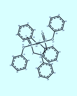 O=P(CN(CP(=O)(Oc1ccccc1)Oc1ccccc1)c1ccccc1)(Oc1ccccc1)Oc1ccccc1